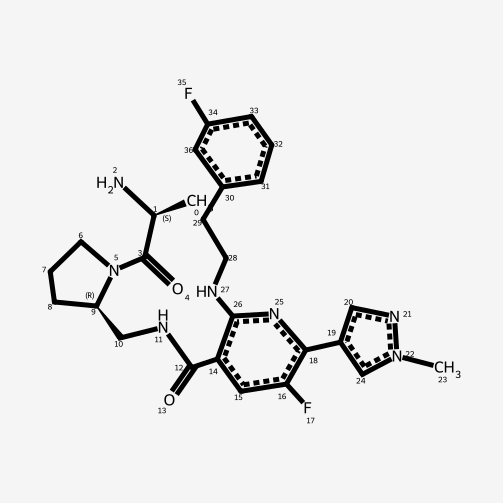 C[C@H](N)C(=O)N1CCC[C@@H]1CNC(=O)c1cc(F)c(-c2cnn(C)c2)nc1NCCc1cccc(F)c1